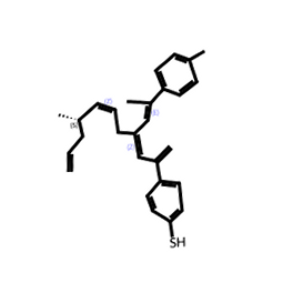 C=CC[C@H](C)/C=C\CC(=C/C(=C)c1ccc(S)cc1)/C=C(\C)c1ccc(C)cc1